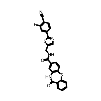 N#Cc1ccc(-c2ncc(CNC(=O)c3ccc4c(c3)NC(=O)c3ccccc3S4)s2)cc1F